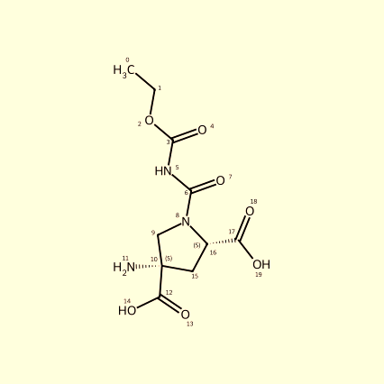 CCOC(=O)NC(=O)N1C[C@](N)(C(=O)O)C[C@H]1C(=O)O